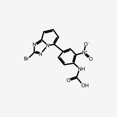 O=C(O)Nc1ccc(-c2cccc3nc(Br)nn23)cc1[N+](=O)[O-]